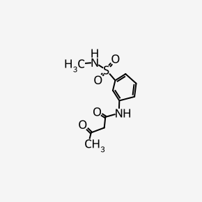 CNS(=O)(=O)c1cccc(NC(=O)CC(C)=O)c1